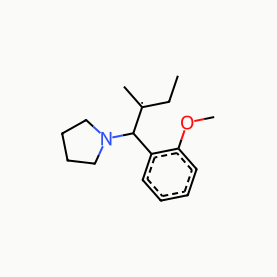 CC[C](C)C(c1ccccc1OC)N1CCCC1